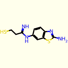 N=C(CCS)Nc1ccc2nc(N)sc2c1